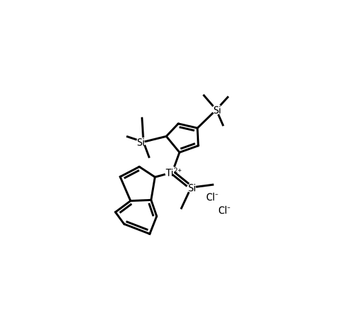 C[Si](C)=[Ti+2]([C]1=CC([Si](C)(C)C)=CC1[Si](C)(C)C)[CH]1C=Cc2ccccc21.[Cl-].[Cl-]